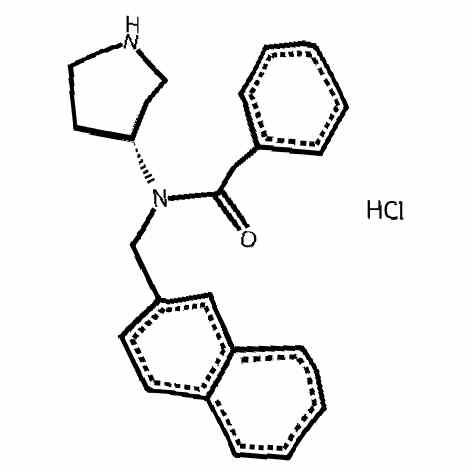 Cl.O=C(c1ccccc1)N(Cc1ccc2ccccc2c1)[C@@H]1CCNC1